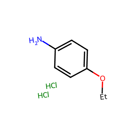 CCOc1ccc(N)cc1.Cl.Cl